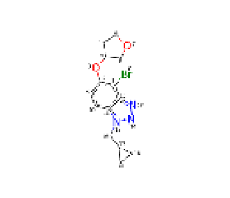 Brc1c(OC2CCOC2)ccc2c1nnn2CC1CC1